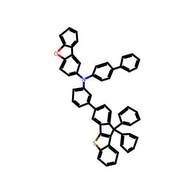 c1ccc(-c2ccc(N(c3cccc(-c4ccc5c(c4)-c4sc6ccccc6c4C5(c4ccccc4)c4ccccc4)c3)c3ccc4oc5ccccc5c4c3)cc2)cc1